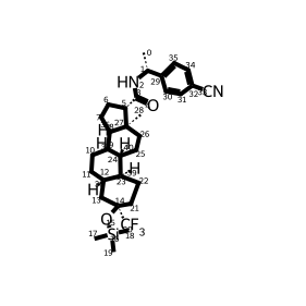 C[C@@H](NC(=O)[C@H]1CC[C@H]2[C@@H]3CC[C@@H]4C[C@@](O[Si](C)(C)C)(C(F)(F)F)CC[C@@H]4[C@H]3CC[C@]12C)c1ccc(C#N)cc1